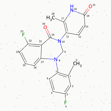 Cc1cc(F)ccc1N1CN(c2ccc(=O)[nH]c2C)C(=O)c2c(F)cccc21